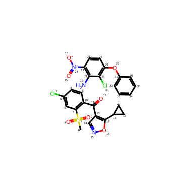 CS(=O)(=O)c1cc(Cl)ccc1C(=O)c1cnoc1C1CC1.Nc1c([N+](=O)[O-])ccc(Oc2ccccc2)c1Cl